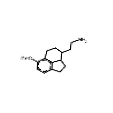 COc1ccc2c3c1CCC(CCN)C3CC2